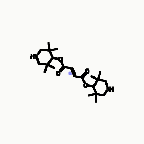 CC1(C)CNCC(C)(C)C1OC(=O)/C=C/C(=O)OC1C(C)(C)CNCC1(C)C